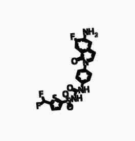 Nc1cc2ccn(-c3ccc(NC(=O)NS(=O)(=O)c4ccc(C(F)F)s4)cc3)c(=O)c2cc1F